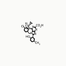 Cc1ccc(O)c(-c2nc3nc(C(=O)O)nc(NC(C)C4CC4)c3n2Cc2ccc(Cl)cc2)c1